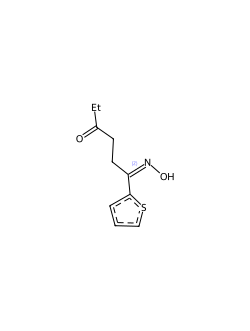 CCC(=O)CC/C(=N/O)c1cccs1